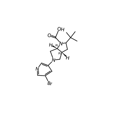 CC(C)(C)C1C[C@@H]2CN(c3cncc(Br)c3)C[C@@H]2N1C(=O)O